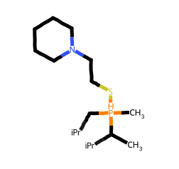 CC(C)C[PH](C)(SCCN1CCCCC1)C(C)C(C)C